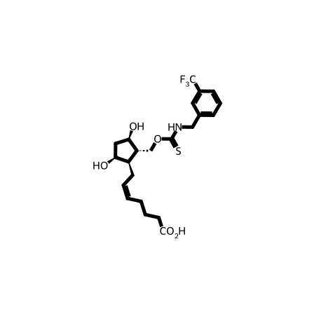 O=C(O)CCC/C=C\C[C@@H]1[C@@H](COC(=S)NCc2cccc(C(F)(F)F)c2)[C@H](O)C[C@@H]1O